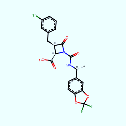 C[C@@H](NC(=O)N1C(=O)[C@H](Cc2cccc(Br)c2)[C@H]1C(=O)O)c1ccc2c(c1)OC(F)(F)O2